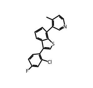 Cc1ccncc1-c1cccc2c(-c3ccc(F)cc3Cl)csc12